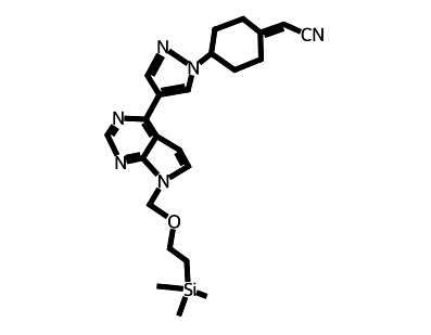 C[Si](C)(C)CCOCn1ccc2c(-c3cnn(C4CCC(=CC#N)CC4)c3)ncnc21